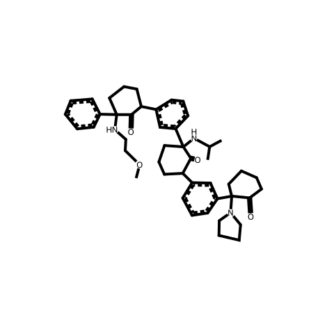 COCCNC1(c2ccccc2)CCCC(c2cccc(C3(NC(C)C)CCCC(c4cccc(C5(N6CCCC6)CCCCC5=O)c4)C3=O)c2)C1=O